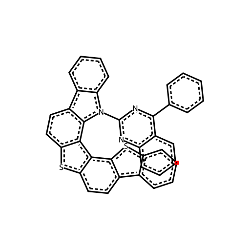 c1ccc(-c2nc(-n3c4ccccc4c4ccc5sc6ccc7c8ccccc8sc7c6c5c43)nc3ccccc23)cc1